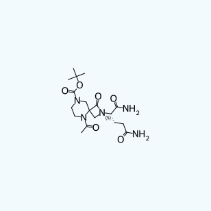 CC(=O)N1CCN(C(=O)OC(C)(C)C)CC12CN([C@@H](CCC(N)=O)C(N)=O)C2=O